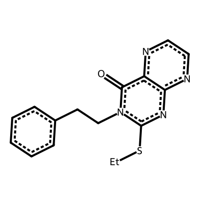 CCSc1nc2nccnc2c(=O)n1CCc1ccccc1